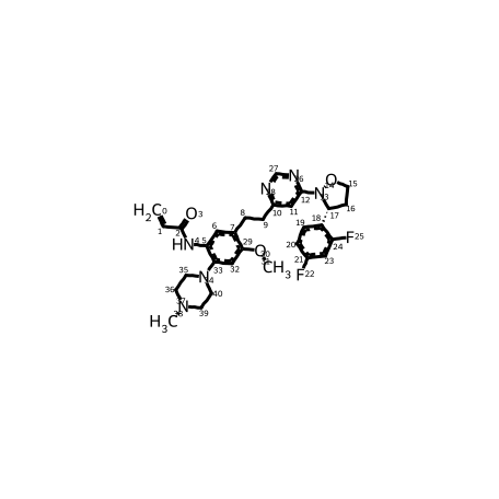 C=CC(=O)Nc1cc(CCc2cc(N3OCC[C@@H]3c3ccc(F)cc3F)ncn2)c(OC)cc1N1CCN(C)CC1